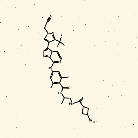 Cc1cc(Nc2nccn3c(-c4cn(CC#N)nc4C(F)(F)F)cnc23)cc(F)c1C(=O)NC(C)CNC(=O)C1CC(N)C1